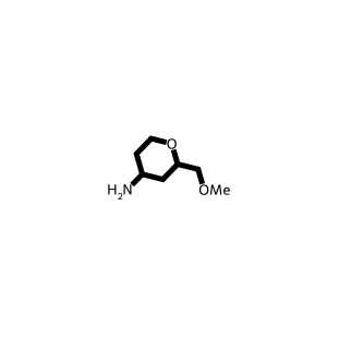 COCC1CC(N)CCO1